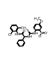 COc1ccc(NC(=S)NC(C(=O)Nc2c(C)cccc2Cl)c2ccccc2)c([N+](=O)[O-])c1